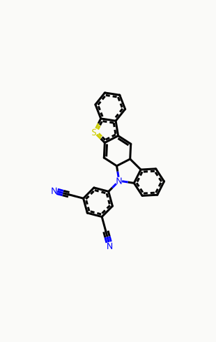 N#Cc1cc(C#N)cc(N2c3ccccc3C3C=c4c(sc5ccccc45)=CC32)c1